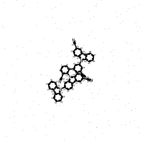 N#Cc1cc(-c2cccc(C#N)c2-n2c3ccc(C#N)cc3c3ccc(-n4c5ccccc5c5ccccc54)cc32)cc(-n2c3ccccc3c3cc(C#N)ccc32)c1